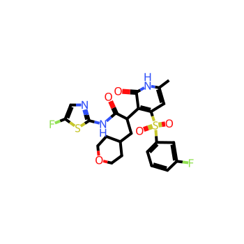 Cc1cc(S(=O)(=O)c2cccc(F)c2)c(C(CC2CCOCC2)C(=O)Nc2ncc(F)s2)c(=O)[nH]1